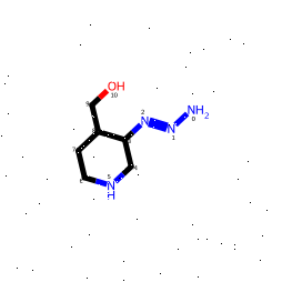 NN=NC1CNCCC1CO